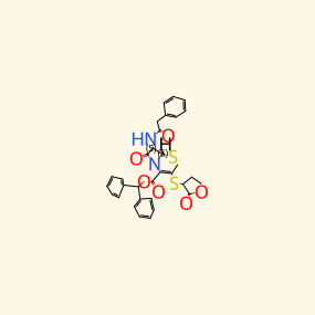 O=C(Cc1ccccc1)N[C@H]1C(=O)N2C(C(=O)OC(c3ccccc3)c3ccccc3)=C(SC3CCOC3=O)CS[C@@H]12